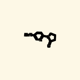 CNc1ccc(N2CCCC2=O)nc1